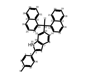 Cc1ccc(-c2cc3ccc(C(C)(c4cccc5ccccc45)c4cccc5ccccc45)cc3[nH]2)cc1